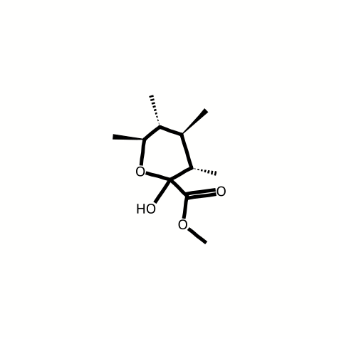 COC(=O)C1(O)O[C@@H](C)[C@H](C)[C@@H](C)[C@@H]1C